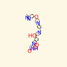 Cc1nn(C)c2cc(OC3CCN(c4ccc(CN5CCC(O)(c6ccc7c(c6)CN(C6CCC(=O)NC6=O)C7=O)CC5)cc4)CC3)ccc12